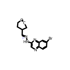 Brc1ccc2ncc(N/N=C/C3CCOCC3)nc2c1